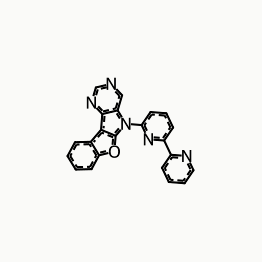 c1ccc(-c2cccc(-n3c4cncnc4c4c5ccccc5oc43)n2)nc1